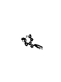 CC1(C)OB(c2cccc(C3=CC(C4C=CC=C(C5=CN=CCC5)C4)=CC(c4cccc(C5=CC=CNC5)c4)C3)c2)OC1(C)C